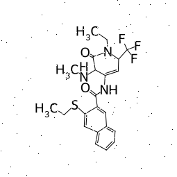 CCSc1cc2ccccc2cc1C(=O)NC1=CC(C(F)(F)F)N(CC)C(=O)C1NC